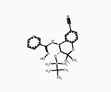 CC1(C)Oc2ccc(C#N)cc2[C@H](N/C(=N/O)c2cccnc2)[C@H]1O[Si](C)(C)C(C)(C)C